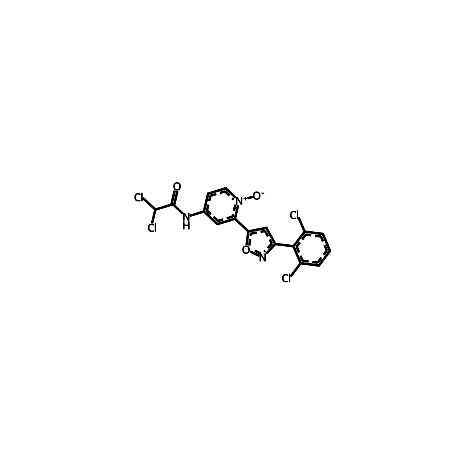 O=C(Nc1cc[n+]([O-])c(-c2cc(-c3c(Cl)cccc3Cl)no2)c1)C(Cl)Cl